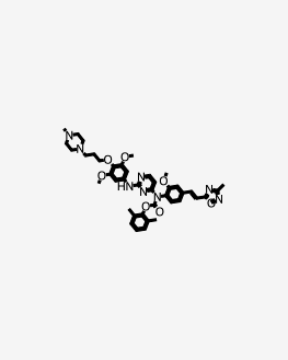 COc1cc(C=Cc2nc(C)no2)ccc1N(C(=O)Oc1c(C)cccc1C)c1ccnc(Nc2cc(OC)c(OCCCN3CCN(C)CC3)c(OC)c2)n1